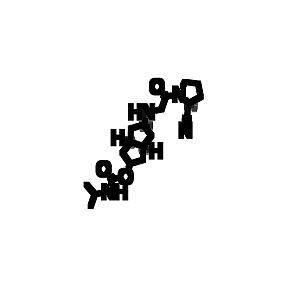 CC(C)NC(=O)OC1C[C@@H]2C[C@H](NCC(=O)N3CCC[C@H]3C#N)C[C@@H]2C1